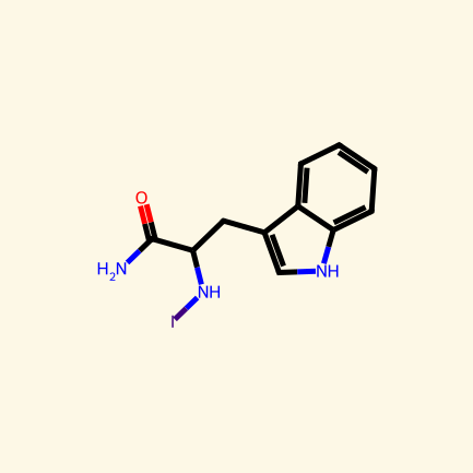 NC(=O)C(Cc1c[nH]c2ccccc12)NI